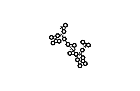 CC1(C)c2ccccc2-c2ccc(N(c3ccc(-c4ccc5sc6c(CC7(C)c8ccccc8-c8ccc(N(c9ccc(-n%10c%11ccccc%11c%11ccccc%11%10)cc9)c9ccc%10c(c9)C9(c%11ccccc%11-c%11ccccc%119)c9ccccc9-%10)cc87)cccc6c5c4)cc3)c3ccc4c(c3)C3(c5ccccc5-c5ccccc53)c3ccccc3-4)cc21